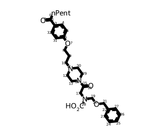 CCCCCC(=O)c1ccc(OCCCN2CCN(C(=O)CN(COCc3ccccc3)C(=O)O)CC2)cc1